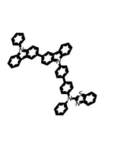 c1ccc(N(c2ccc(-c3ccc(-n4c5ccccc5c5cc(-c6ccc7c(c6)c6ccccc6n7-c6ccccc6)ccc54)cc3)cc2)c2nc3ccccc3s2)cc1